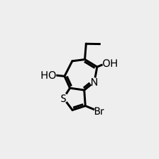 CCC1=C(O)N=c2c(Br)csc2=C(O)C1